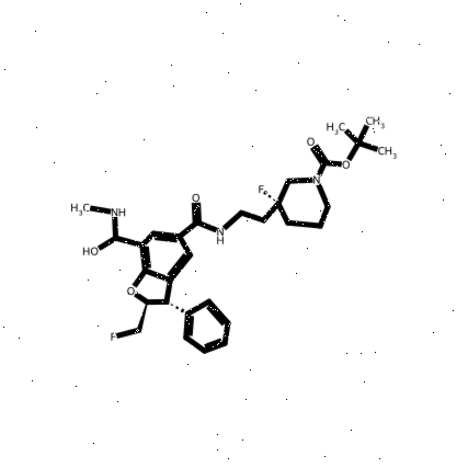 CNC(O)c1cc(C(=O)NCC[C@]2(F)CCCN(C(=O)OC(C)(C)C)C2)cc2c1O[C@H](CF)[C@H]2c1ccccc1